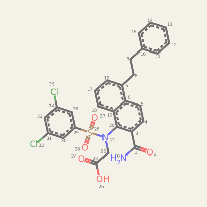 NC(=O)c1ccc2c(CCc3ccccc3)cccc2c1N(CC(=O)O)S(=O)(=O)c1cc(Cl)cc(Cl)c1